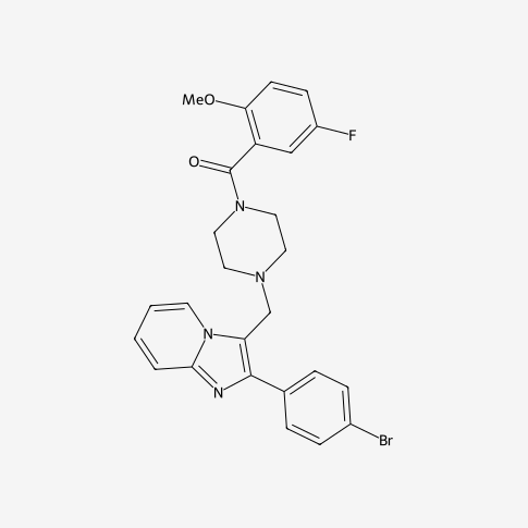 COc1ccc(F)cc1C(=O)N1CCN(Cc2c(-c3ccc(Br)cc3)nc3ccccn23)CC1